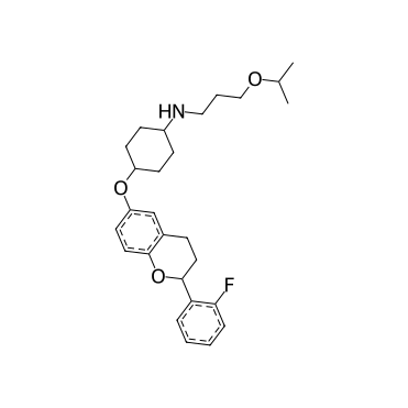 CC(C)OCCCNC1CCC(Oc2ccc3c(c2)CCC(c2ccccc2F)O3)CC1